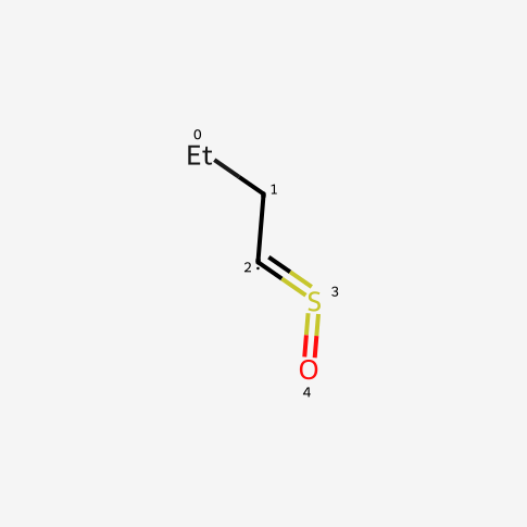 CCC[C]=S=O